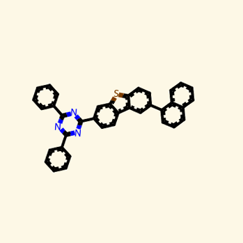 c1ccc(-c2nc(-c3ccccc3)nc(-c3ccc4c(c3)sc3ccc(-c5cccc6ccccc56)cc34)n2)cc1